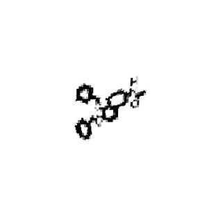 CC(=O)NC1CCCc2c(ccc(OCc3ccccc3)c2OCc2ccccc2)C1